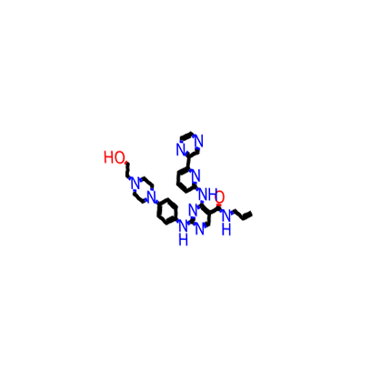 C=CCNC(=O)c1cnc(Nc2ccc(N3CCN(CCO)CC3)cc2)nc1Nc1cccc(-c2cnccn2)n1